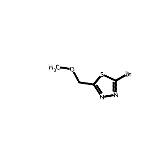 COCc1nnc(Br)s1